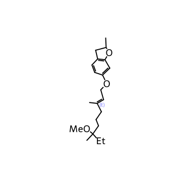 CCC(C)(CCC/C(C)=C/COc1ccc2c(c1)OC(C)C2)OC